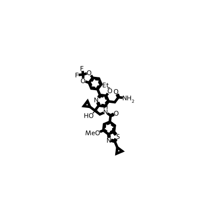 CCOc1c(CC(N)=O)cc([C@@](O)(CNC(=O)c2cc(OC)c3nc(C4CC4)sc3c2)C2CC2)nc1-c1ccc2c(c1)OC(F)(F)O2